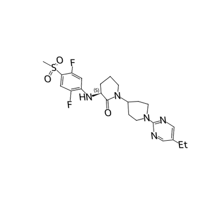 CCc1cnc(N2CCC(N3CCC[C@H](Nc4cc(F)c(S(C)(=O)=O)cc4F)C3=O)CC2)nc1